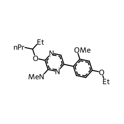 CCCC(CC)Oc1ncc(-c2ccc(OCC)cc2OC)nc1NC